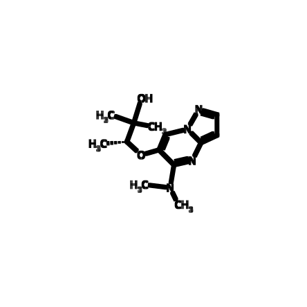 C[C@@H](Oc1cn2nccc2nc1N(C)C)C(C)(C)O